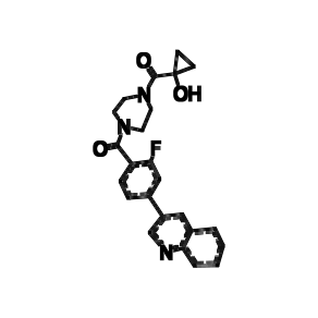 O=C(c1ccc(-c2cnc3ccccc3c2)cc1F)N1CCN(C(=O)C2(O)CC2)CC1